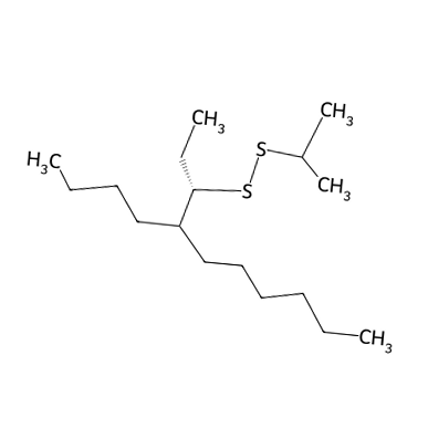 CCCCCCC(CCCC)[C@H](CC)SSC(C)C